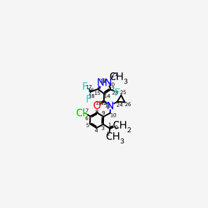 C=C(C)c1ccc(Cl)cc1CN(C(=O)c1c(C(F)F)nn(C)c1F)C1CC1